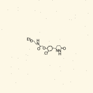 CCOCCNC(=O)COc1ccc(C2=NNC(=O)CC2)cc1Cl